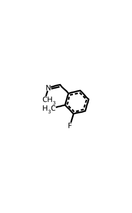 C/N=C\c1cccc(F)c1C